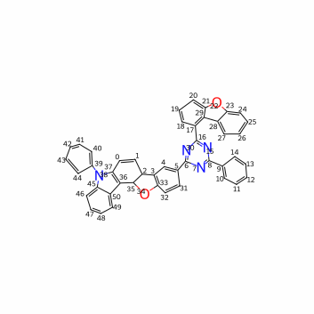 C1=CC2c3cc(-c4nc(-c5ccccc5)nc(-c5cccc6oc7ccccc7c56)n4)ccc3OC2c2c1n(-c1ccccc1)c1ccccc21